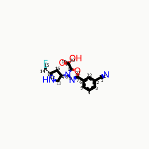 N#Cc1cccc(C2=NN([C@H]3CN[C@H](CF)C3)C(C(=O)O)O2)c1